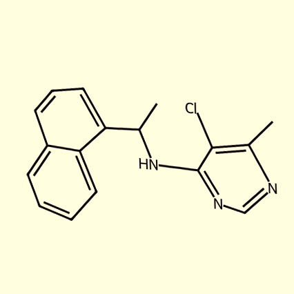 Cc1ncnc(NC(C)c2cccc3ccccc23)c1Cl